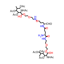 CC(=O)NC(C(O)OCCOCCNOCCC[C@@H](C=O)NC(=O)CC[C@H](N)C(=O)NCCOCCOC(O)C(NC(C)=O)C(OC(C)=O)C(OC(C)=O)C(C)COC(C)=O)C(OC(C)=O)C(OC(C)=O)C(C)COC(C)=O